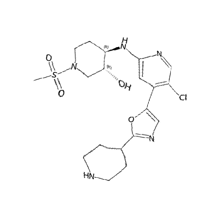 CS(=O)(=O)N1CC[C@@H](Nc2cc(-c3cnc(C4CCNCC4)o3)c(Cl)cn2)[C@H](O)C1